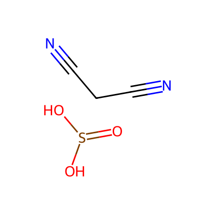 N#CCC#N.O=S(O)O